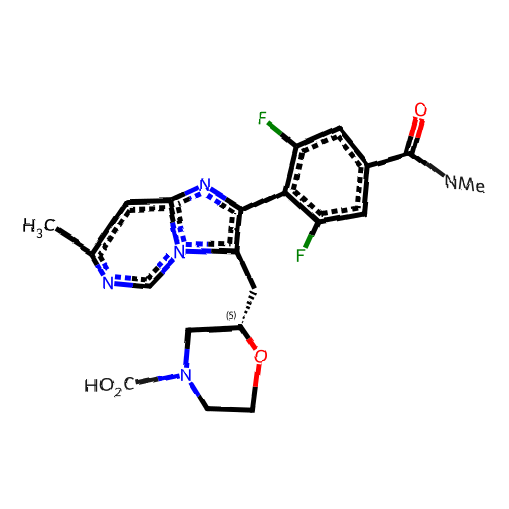 CNC(=O)c1cc(F)c(-c2nc3cc(C)ncn3c2C[C@H]2CN(C(=O)O)CCO2)c(F)c1